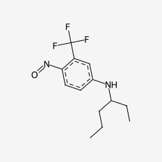 CCCC(CC)Nc1ccc(N=O)c(C(F)(F)F)c1